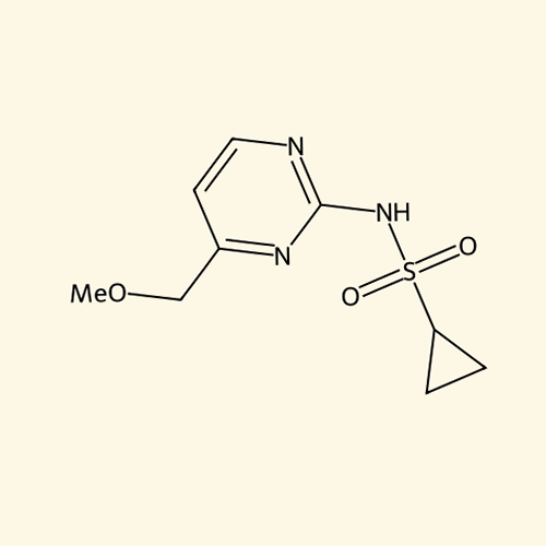 COCc1ccnc(NS(=O)(=O)C2CC2)n1